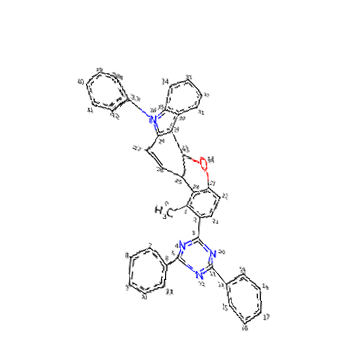 Cc1c(-c2nc(-c3ccccc3)nc(-c3ccccc3)n2)ccc2c1C1C=Cc3c(c4ccccc4n3-c3ccccc3)C1O2